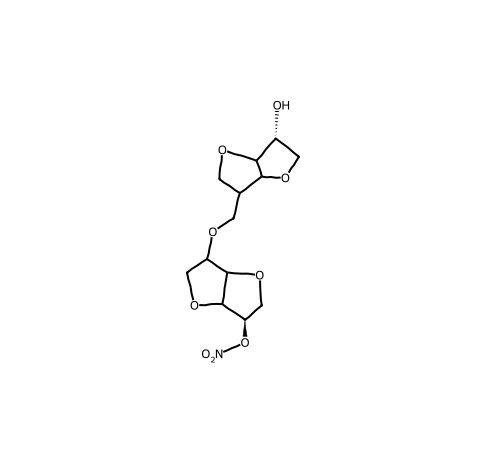 O=[N+]([O-])O[C@@H]1COC2C(OCC3COC4C3OC[C@H]4O)COC21